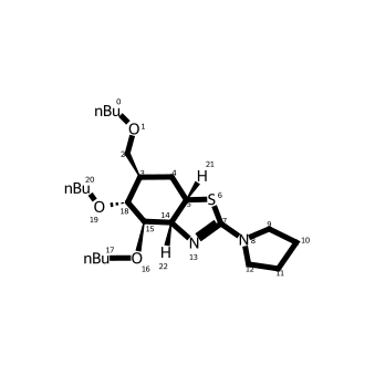 CCCCOC[C@H]1C[C@@H]2SC(N3CCCC3)=N[C@@H]2[C@@H](OCCCC)[C@@H]1OCCCC